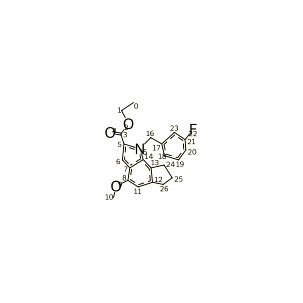 CCOC(=O)c1cc2c(OC)cc3c(c2n1Cc1cccc(F)c1)CCC3